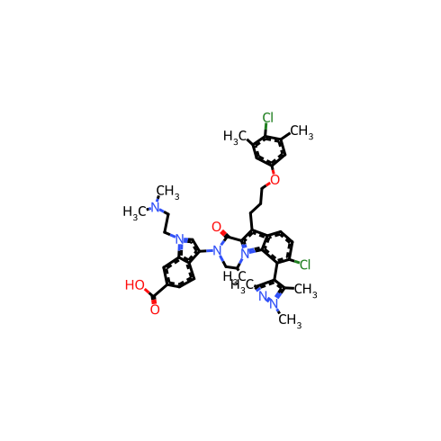 Cc1cc(OCCCc2c3n(c4c(-c5c(C)nn(C)c5C)c(Cl)ccc24)C(C)CN(c2cn(CCN(C)C)c4cc(C(=O)O)ccc24)C3=O)cc(C)c1Cl